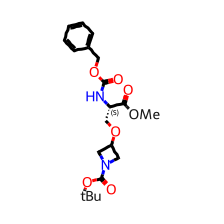 COC(=O)[C@H](COC1CN(C(=O)OC(C)(C)C)C1)NC(=O)OCc1ccccc1